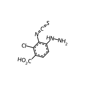 NNc1ccc(C(=O)O)c(Cl)c1N=C=S